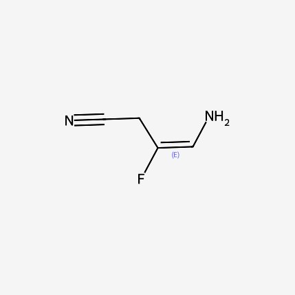 N#CC/C(F)=C\N